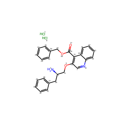 Cl.Cl.N[C@@H](COc1cnc2ccccc2c1C(=O)OCc1ccccc1)Cc1ccccc1